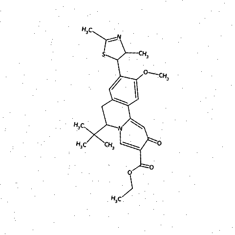 CCOC(=O)c1cn2c(cc1=O)-c1cc(OC)c(C3SC(C)=NC3C)cc1CC2C(C)(C)C